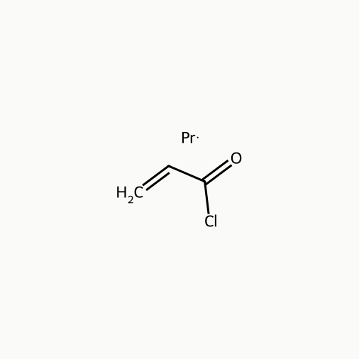 C=CC(=O)Cl.[Pr]